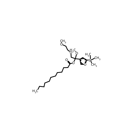 CCCCCCCCCCCC(=O)OC(COCCOC)(OC)c1coc([Si](C)(C)C)c1